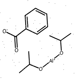 CC(C)[O][Al+][O]C(C)C.O=C([O-])c1ccccc1